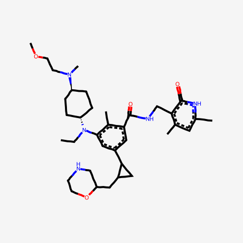 CCN(c1cc(C2CC2CC2CNCCO2)cc(C(=O)NCc2c(C)cc(C)[nH]c2=O)c1C)[C@H]1CC[C@H](N(C)CCOC)CC1